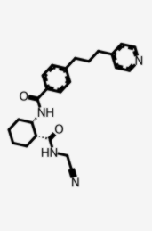 N#CCNC(=O)[C@@H]1CCCC[C@@H]1NC(=O)c1ccc(CCCc2ccncc2)cc1